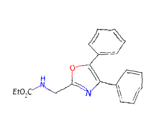 CCOC(=O)NCc1nc(-c2ccccc2)c(-c2ccccc2)o1